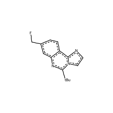 CC(C)(C)c1nc2cc(CF)ccc2c2nccn12